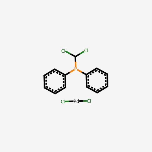 ClC(Cl)P(c1ccccc1)c1ccccc1.[Cl][Pd][Cl]